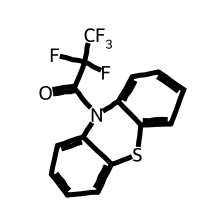 O=C(N1c2ccccc2Sc2ccccc21)C(F)(F)C(F)(F)F